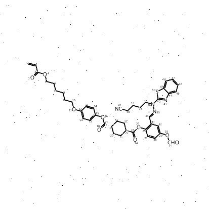 C=CC(=O)OCCCCCCOc1ccc(OC(=O)[C@H]2CC[C@H](C(=O)Oc3ccc(OC=O)cc3/C=N/N(CCCCC#N)c3nc4ccccc4s3)CC2)cc1